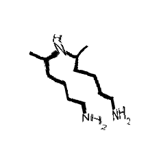 CC(CCCCN)NC(C)CCCCN